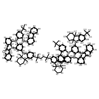 CC(C)(C)c1ccc(N2c3cc(N4c5ccc(C(C)(C)CCC(C)(C)c6ccc7c(c6)C6(C)CCCCC6(C)N7c6cc7c8c(c6)-n6c9c(cccc9c9oc%10ccccc%10c96)B8c6ccc(C(C)(C)C)cc6N7c6cccc7c6oc6ccccc67)cc5C5(C)CCCCC45C)ccc3B3c4c2cc(N2c5ccc(C(C)(C)C)cc5C5(C)CCCCC25C)cc4-n2c4c3cccc4c3oc4ccccc4c32)c(-c2ccccc2)c1